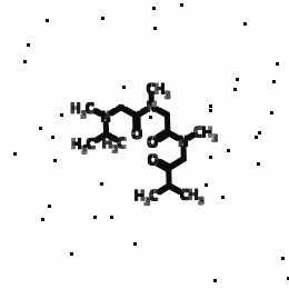 CC(C)C(=O)CN(C)C(=O)CN(C)C(=O)CN(C)C(C)C